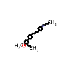 CCC/C=C/c1ccc(CCCCC2CCC(c3ccc(OC)c(CCC)c3)CC2)cc1